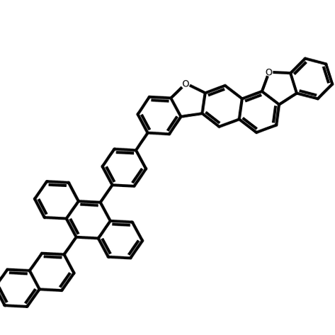 c1ccc2cc(-c3c4ccccc4c(-c4ccc(-c5ccc6oc7cc8c(ccc9c%10ccccc%10oc89)cc7c6c5)cc4)c4ccccc34)ccc2c1